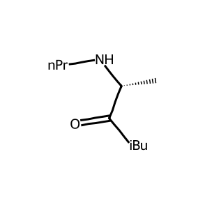 CCCN[C@H](C)C(=O)C(C)CC